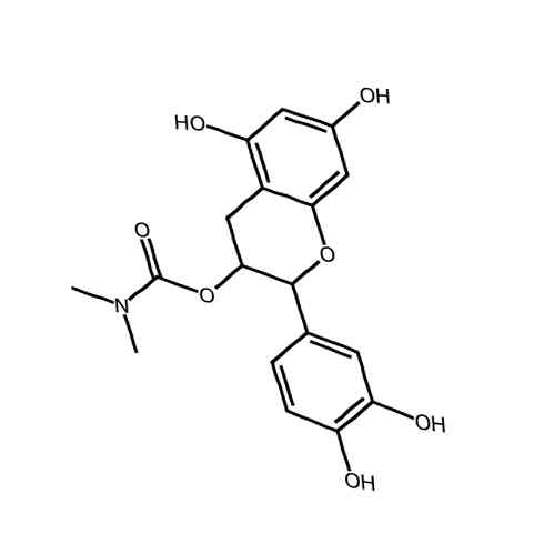 CN(C)C(=O)OC1Cc2c(O)cc(O)cc2OC1c1ccc(O)c(O)c1